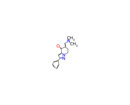 CN(C)C=C1CCn2nc(-c3ccccc3)cc2C1=O